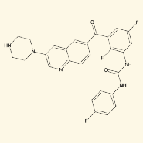 O=C(Nc1ccc(F)cc1)Nc1cc(F)cc(C(=O)c2ccc3ncc(N4CCNCC4)cc3c2)c1F